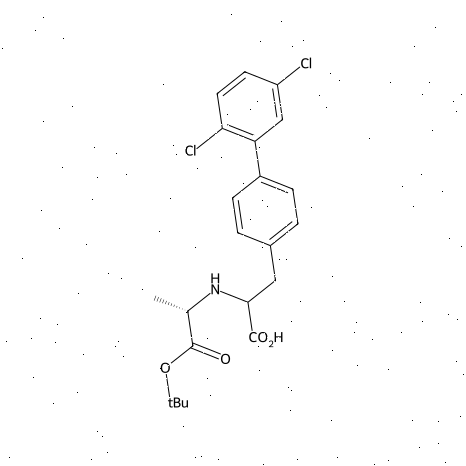 C[C@H](NC(Cc1ccc(-c2cc(Cl)ccc2Cl)cc1)C(=O)O)C(=O)OC(C)(C)C